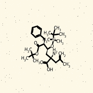 C=C(C)C[C@@](N)(C[C@H](O[Si](C)(C)C(C)(C)C)[C@H](Cc1ccccc1)C(=O)OC(C)(C)C)C(=O)O